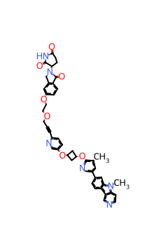 Cc1cc(-c2ccc3c4cnccc4n(C)c3c2)cnc1O[C@H]1C[C@H](Oc2ccc(C#CCOCCOc3ccc4c(c3)CN(C3CCC(=O)NC3=O)C4=O)nc2)C1